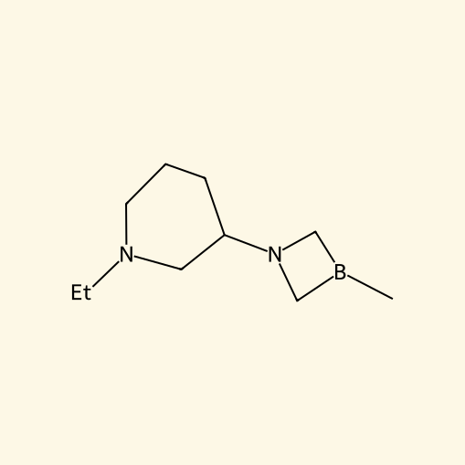 CCN1CCCC(N2CB(C)C2)C1